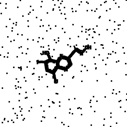 O/N=C/c1cnc2c(Cl)cc(I)c(O)c2n1